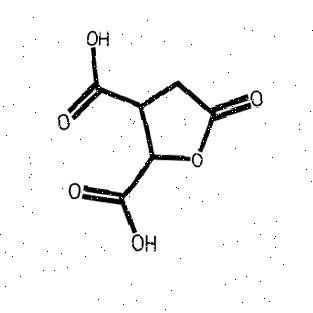 O=C1CC(C(=O)O)C(C(=O)O)O1